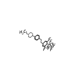 CCCC1CCC(c2ccc(CCc3cc(F)c(C(F)(F)OC(F)(F)F)c(F)c3)cc2)CC1